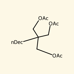 CCCCCCCCCCC(COC(C)=O)(COC(C)=O)COC(C)=O